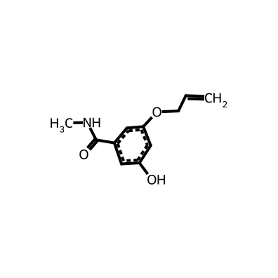 C=CCOc1cc(O)cc(C(=O)NC)c1